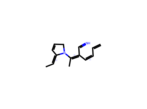 C=C/C=C\C(C=N)=C(/C)N1CC=C/C1=C\C